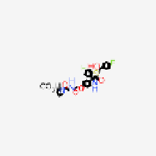 O=C(COc1ccc([C@]2(c3ccc(F)cc3)NC(=O)[C@@H]2SCC(O)c2ccc(F)cc2)cc1)NCC(=O)N1CCC[C@@H]1C(=O)O